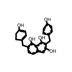 OC1=CC=C(Cc2ccc3cc(O)c(Cc4ccc(O)cc4)c(O)c3c2O)CC1